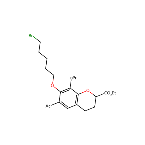 CCCc1c2c(cc(C(C)=O)c1OCCCCCBr)CCC(C(=O)OCC)O2